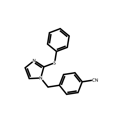 N#Cc1ccc(Cn2ccnc2Sc2ccccc2)cc1